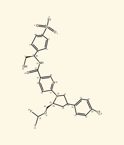 CCS(=O)(=O)c1ccc([C@H](CO)NC(=O)c2ccc(N3CC(c4ccc(C(F)(F)F)cc4)C[C@H]3COC(F)F)nc2)cc1